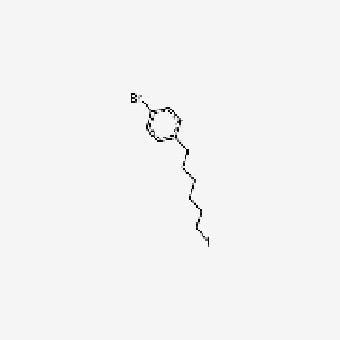 Brc1ccc(CCCCCCI)cc1